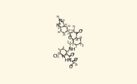 Cc1cc(C(C)Nc2ccc(Cl)nc2C(=O)NS(C)(=O)=O)c2oc(-c3ccc4nn(C)cc4c3)c(C)c(=O)c2c1